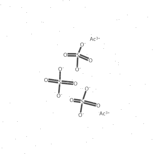 O=S(=O)([O-])[O-].O=S(=O)([O-])[O-].O=S(=O)([O-])[O-].[Ac+3].[Ac+3]